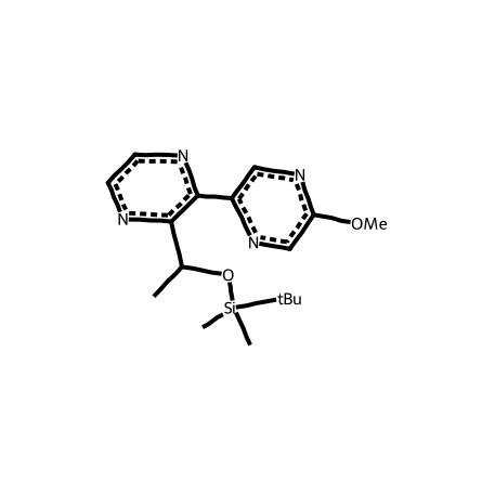 COc1cnc(-c2nccnc2C(C)O[Si](C)(C)C(C)(C)C)cn1